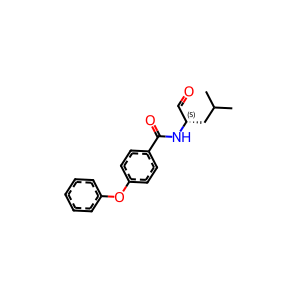 CC(C)C[C@@H](C=O)NC(=O)c1ccc(Oc2ccccc2)cc1